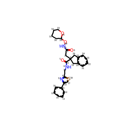 O=C(CC1(C(=O)NCc2nc(-c3ccccc3)cs2)Cc2ccccc2C1)NOC1CCCCO1